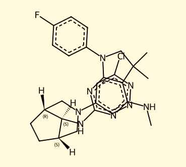 CNc1nc(N[C@@H]2[C@@H]3CC[C@H]2CN(c2cnnc(Cl)c2)C3)nc2c1C(C)(C)CN2c1ccc(F)cc1